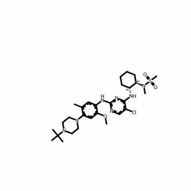 COc1cc(N2CCN(C(C)(C)C)CC2)c(C)cc1Nc1ncc(Cl)c(N[C@@H]2CCCC[C@H]2N(C)S(C)(=O)=O)n1